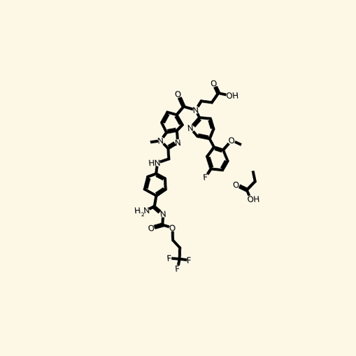 CCC(=O)O.COc1ccc(F)cc1-c1ccc(N(CCC(=O)O)C(=O)c2ccc3c(c2)nc(CNc2ccc(C(N)=NC(=O)OCCC(F)(F)F)cc2)n3C)nc1